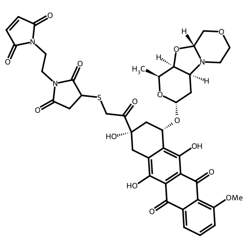 COc1cccc2c1C(=O)c1c(O)c3c(c(O)c1C2=O)C[C@@](O)(C(=O)CSC1CC(=O)N(CCN2C(=O)C=CC2=O)C1=O)C[C@@H]3O[C@H]1C[C@H]2[C@H](O[C@@H]3COCCN32)[C@H](C)O1